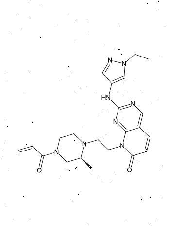 C=CC(=O)N1CCN(CCn2c(=O)ccc3cnc(Nc4cnn(CC)c4)nc32)[C@@H](C)C1